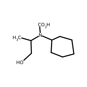 CC(CO)N(C(=O)O)C1CCCCC1